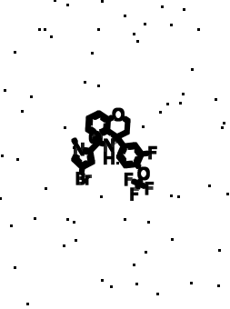 Cn1cc(Br)cc1C(=O)N[C@]1(c2ccc(OC(F)(F)F)c(F)c2)CCOc2cccnc21